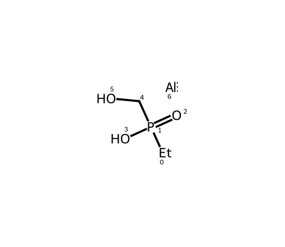 CCP(=O)(O)CO.[Al]